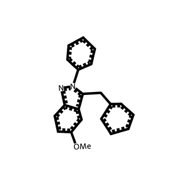 COc1ccc2nn(-c3ccccc3)c(Cc3ccccc3)c2c1